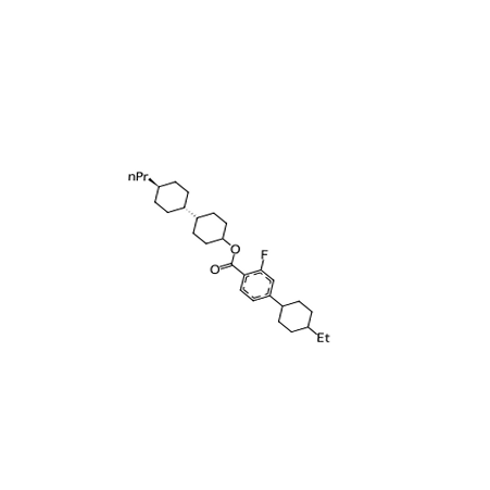 CCC[C@H]1CC[C@H](C2CCC(OC(=O)c3ccc(C4CCC(CC)CC4)cc3F)CC2)CC1